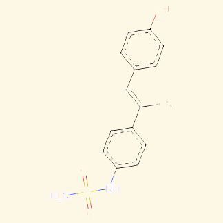 N#C/C(=C\c1ccc(O)cc1)c1ccc(NS(N)(=O)=O)cc1